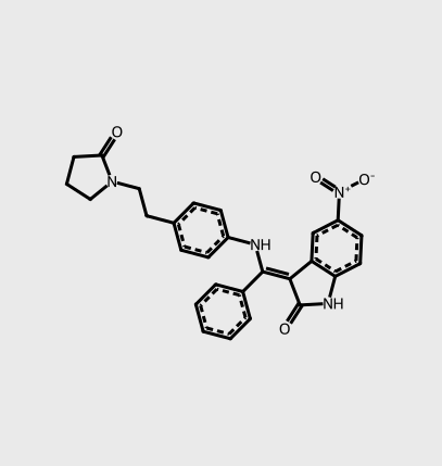 O=C1Nc2ccc([N+](=O)[O-])cc2C1=C(Nc1ccc(CCN2CCCC2=O)cc1)c1ccccc1